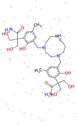 Cc1cc(CN2CCCNCCN(Cc3cc(C)cc(C(CO)(CO)C(N)=O)c3O)CC2)c(O)c(C(CO)(CO)C(N)=O)c1